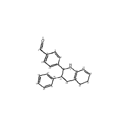 O=Cc1ccc(C2NC3=C(CCC=N3)CC2c2ccccc2)cc1